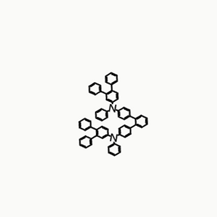 c1ccc(-c2ccc(N(c3ccccc3)c3ccc(-c4ccccc4-c4ccc(N(c5ccccc5)c5ccc(-c6ccccc6)c(-c6ccccc6)c5)cc4)cc3)cc2-c2ccccc2)cc1